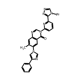 Cc1cc2ncn(-c3cccc(-c4nncn4C(C)C)n3)c(=O)c2cc1-n1cnc(-c2ccccc2)c1